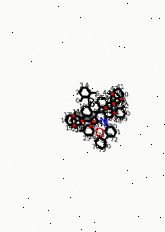 Cc1cccc(C)c1B1c2ccc(B(c3c(C)cccc3C)c3c(C)cccc3C)cc2C2(c3cc(B(c4c(C)cccc4C)c4c(C)cccc4C)ccc31)c1cc(-c3ccccc3)ccc1N(c1cccc3c1oc1ccccc13)c1ccc(-c3ccccc3)cc12